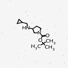 CC(C)(C)OC(=O)N1CCC(NCC2CC2)C1